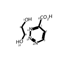 O=C(O)c1ccnnn1.OCCO